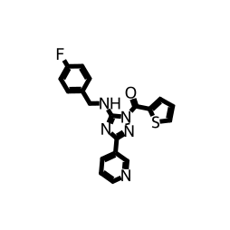 O=C(c1cccs1)n1nc(-c2cccnc2)nc1NCc1ccc(F)cc1